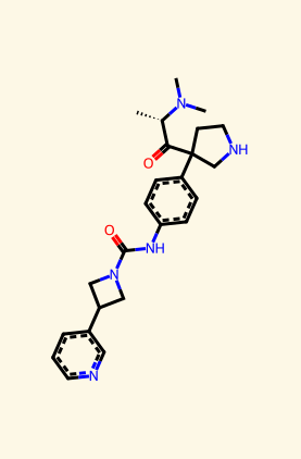 C[C@@H](C(=O)C1(c2ccc(NC(=O)N3CC(c4cccnc4)C3)cc2)CCNC1)N(C)C